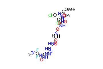 COc1ccc(C2=N[C@@H](c3ccc(Cl)cc3)[C@@H](c3ccc(Cl)cc3)N2C(=O)N2CCN(CC(=O)NCCOCCN3C[C@H]4C[C@@H](OCC(=O)NCCCNc5cc(N6CCC7(CC6)CN(c6cc(F)c(CN8CCC(C)(C)CC8)cc6F)CC(=O)N7)ncn5)C[C@H]4C3)C(=O)C2)c(OC(C)C)c1